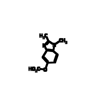 Cc1nc2cc(OC(=O)O)ccc2n1C